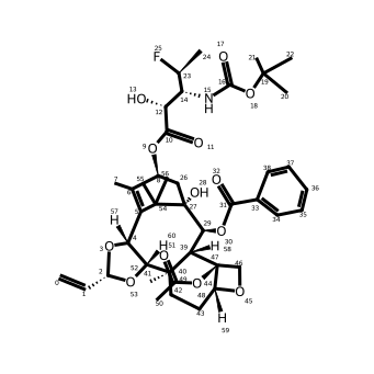 C=C[C@@H]1O[C@@H]2C3=C(C)[C@@H](OC(=O)[C@H](O)[C@@H](NC(=O)OC(C)(C)C)[C@H](C)F)C[C@@](O)([C@@H](OC(=O)c4ccccc4)[C@H]4[C@@](C)(CC[C@H]5OC[C@]54OC(C)=O)[C@@H]2O1)C3(C)C